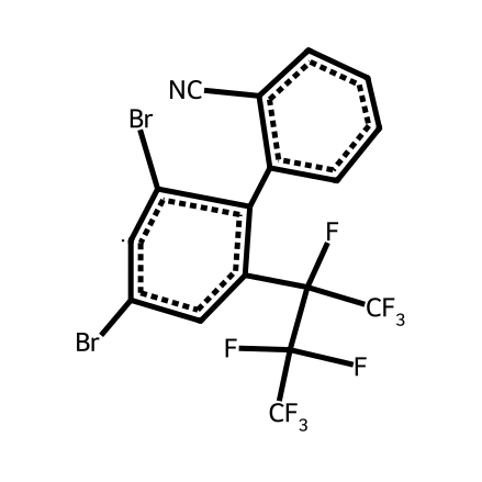 N#Cc1ccccc1-c1c(Br)[c]c(Br)cc1C(F)(C(F)(F)F)C(F)(F)C(F)(F)F